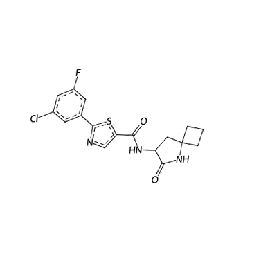 O=C(NC1CC2(CCC2)NC1=O)c1cnc(-c2cc(F)cc(Cl)c2)s1